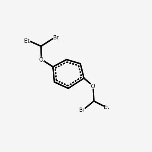 CCC(Br)Oc1ccc(OC(Br)CC)cc1